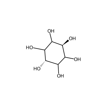 OC1C(O)[C@H](O)C(O)C(O)[C@H]1O